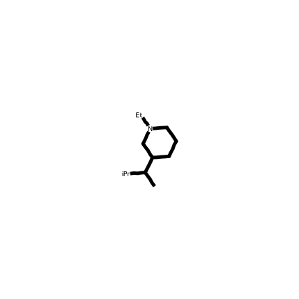 CCN1CCCC(C(C)C(C)C)C1